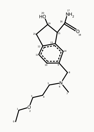 CCOCCCN(C)Cc1ccc2c(c1)C(C(N)=O)C(O)C2